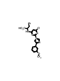 CC(C)CC(Nc1cc(Cl)nc(-n2cnc(-c3cccc(OC(F)(F)F)c3)c2)n1)C(=O)O